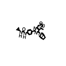 CC1c2c(nc(-c3ccc(NC(=O)NC4CC4)cc3)nc2N2CC3CCC(C2)O3)CS1(=O)=O